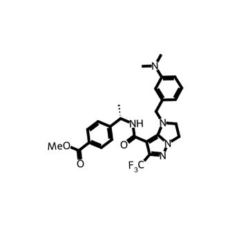 COC(=O)c1ccc([C@H](C)NC(=O)c2c(C(F)(F)F)nn3c2N(Cc2cccc(N(C)C)c2)CC3)cc1